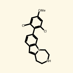 COc1cc(Cl)c(-c2ccc3cc4n(c3c2)CCNCC4)c(Cl)c1